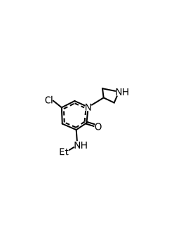 CCNc1cc(Cl)cn(C2CNC2)c1=O